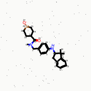 CN(Cc1ccc(NC2Cc3ccccc3C2(C)C)cc1)C(=O)C1CC[S+]([O-])CC1